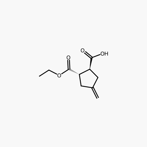 C=C1C[C@H](C(=O)O)[C@@H](C(=O)OCC)C1